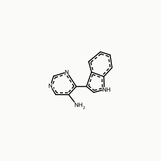 Nc1cncnc1-c1c[nH]c2ccccc12